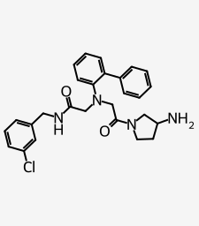 NC1CCN(C(=O)CN(CC(=O)NCc2cccc(Cl)c2)c2ccccc2-c2ccccc2)C1